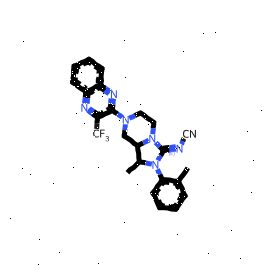 Cc1ccccc1N1/C(=N/C#N)N2CCN(c3nc4ccccc4nc3C(F)(F)F)CC2C1C